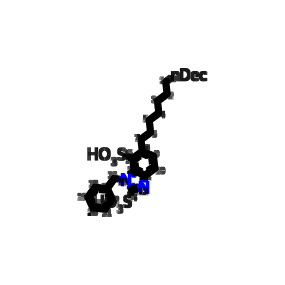 CCCCCCCCCCCCCCCCCc1ccc2nc(S(=O)(=O)O)n(Cc3ccccc3)c2c1S(=O)(=O)O